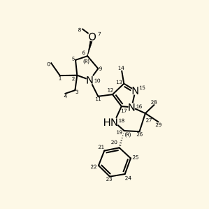 CCC1(CC)C[C@@H](OC)CN1Cc1c(C)nn2c1N[C@@H](c1ccccc1)CC2(C)C